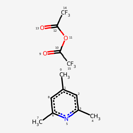 Cc1cc(C)nc(C)c1.O=C(OC(=O)C(F)(F)F)C(F)(F)F